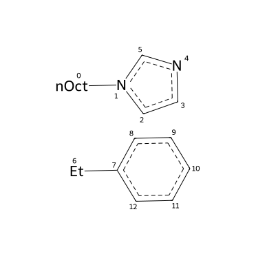 CCCCCCCCn1ccnc1.CCc1ccccc1